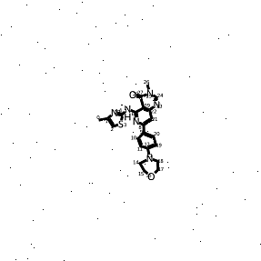 Cc1csc(Nc2nc(-c3ccc(N4CCOCC4)cc3)cc3ncn(C)c(=O)c23)n1